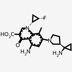 Cc1c(N2CC[C@@H](C3(N)CC3)C2)cc(N)c2c(=O)c(C(=O)O)cn([C@@H]3C[C@@H]3F)c12